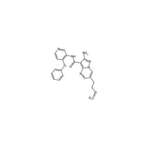 C=NCCc1cnc2c(C(=O)Nc3cnccc3Oc3ccccc3)c(N)nn2c1